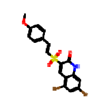 COc1ccc(/C=C/S(=O)(=O)c2cc3c(Br)cc(Br)cc3[nH]c2=O)cc1